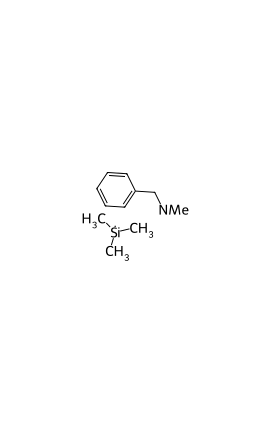 CNCc1ccccc1.C[Si](C)C